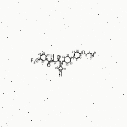 CN(C)CCOc1ccc(C2CCC(N(C(=O)CNC(=O)c3cccc(C(F)(F)F)c3)C3CNC3)CC2)cc1